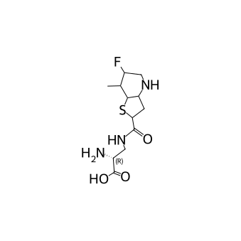 CC1C(F)CNC2CC(C(=O)NC[C@@H](N)C(=O)O)SC21